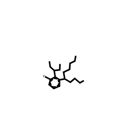 CCCCCC(CCCC)c1cccc(F)c1C(CC)CC